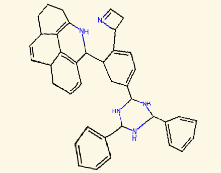 C1=CC2=C3C4=C(CCCC4C=CC3C1)NC2C1CC(C2NC(c3ccccc3)NC(c3ccccc3)N2)=CC=C1C1CC=N1